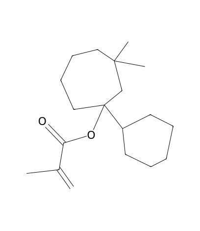 C=C(C)C(=O)OC1(C2CCCCC2)CCCCC(C)(C)C1